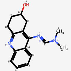 CN(C)/C=N/c1c2c(nc3ccccc13)CCC(O)C2